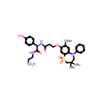 CCCCC1(CCCC)CN(c2ccccc2)c2cc(OC)c(OCCC(=O)N[C@@H](C(=O)NCCS(=O)(=O)O)c3ccc(O)cc3)cc2S(=O)(=O)C1